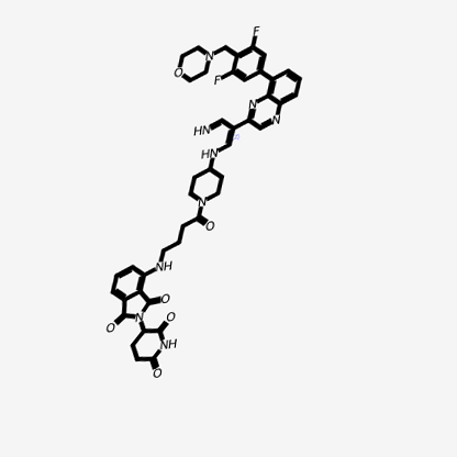 N=C/C(=C\NC1CCN(C(=O)CCCNc2cccc3c2C(=O)N(C2CCC(=O)NC2=O)C3=O)CC1)c1cnc2cccc(-c3cc(F)c(CN4CCOCC4)c(F)c3)c2n1